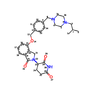 CC(C)CN1CCN(Cc2ccc(COc3cccc4c3CN([C@@H]3CCC(=O)NC3=O)C4=O)cc2)CC1